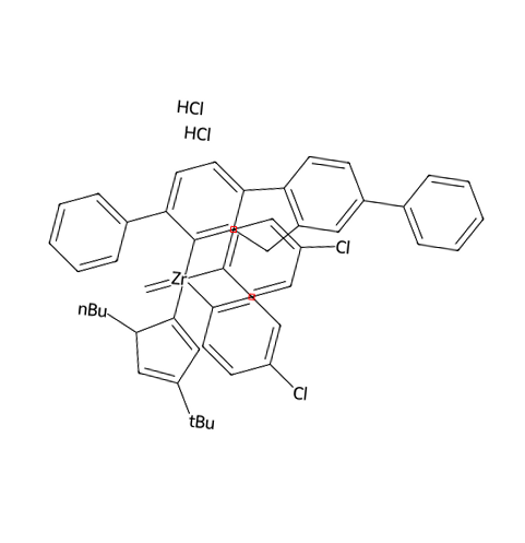 Cl.Cl.[CH2]=[Zr]([C]1=CC(C(C)(C)C)=CC1CCCC)([c]1ccc(Cl)cc1)([c]1ccc(Cl)cc1)[c]1c(-c2ccccc2)ccc2c1Cc1cc(-c3ccccc3)ccc1-2